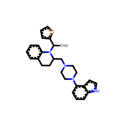 O=CC(c1cccs1)N1c2ccccc2CCC1CN1CCN(c2cccc3[nH]ccc23)CC1